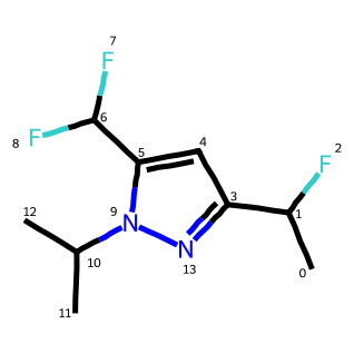 CC(F)c1cc(C(F)F)n(C(C)C)n1